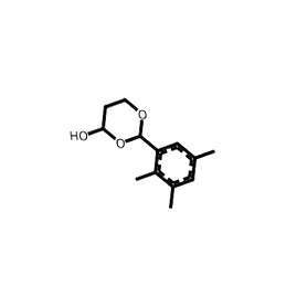 Cc1cc(C)c(C)c(C2OCCC(O)O2)c1